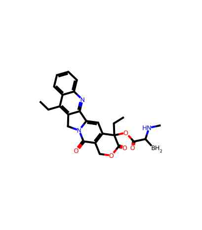 BC(NC)C(=O)OC1(CC)C(=O)OCc2c1cc1n(c2=O)Cc2c-1nc1ccccc1c2CC